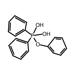 OP(O)(Oc1ccccc1)(c1ccccc1)c1ccccc1